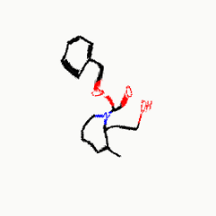 CC1CCCN(C(=O)OCc2ccccc2)C1CO